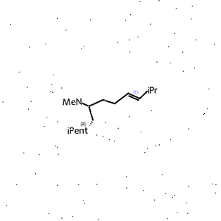 CCC[C@@H](C)CC(CC/C=C/C(C)C)NC